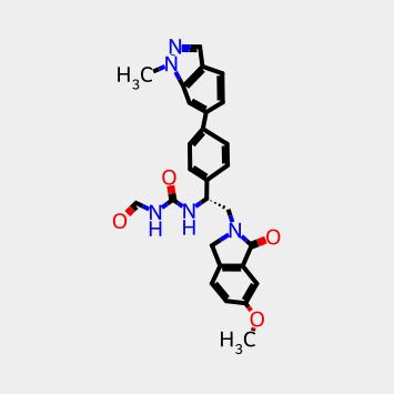 COc1ccc2c(c1)C(=O)N(C[C@H](NC(=O)NC=O)c1ccc(-c3ccc4cnn(C)c4c3)cc1)C2